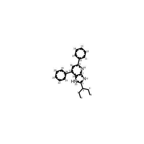 CCC(CC)c1nc2nc(-c3ccccc3)cc(-c3ccccc3)c2[nH]1